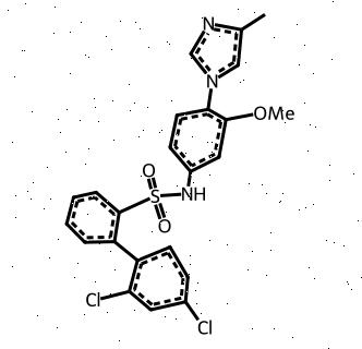 COc1cc(NS(=O)(=O)c2ccccc2-c2ccc(Cl)cc2Cl)ccc1-n1cnc(C)c1